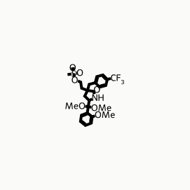 COc1ccccc1C(OC)(OC)C1CC(CCOS(C)(=O)=O)(Cc2ccc(C(F)(F)F)cc2)C(=O)N1